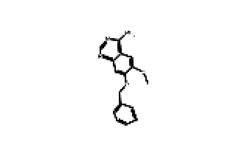 COc1cc2c(N)ncnc2cc1OCc1ccccc1